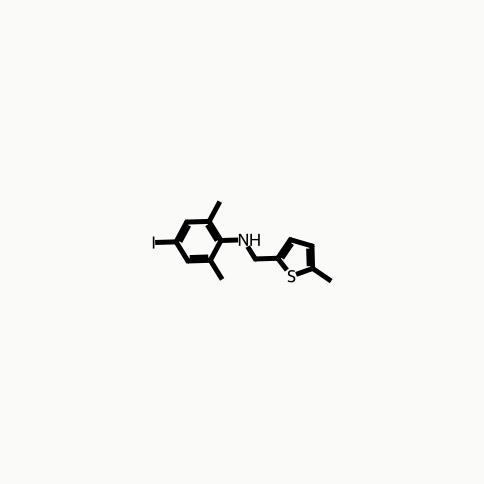 Cc1ccc(CNc2c(C)cc(I)cc2C)s1